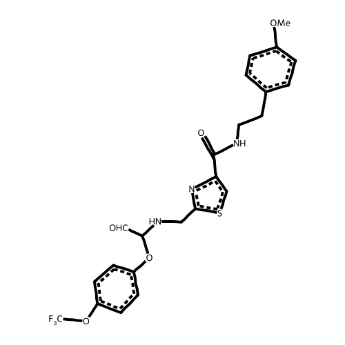 COc1ccc(CCNC(=O)c2csc(CNC(C=O)Oc3ccc(OC(F)(F)F)cc3)n2)cc1